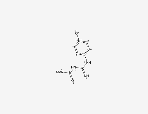 CNC(=O)NC(=N)Nc1cc[n+]([O-])cc1